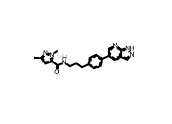 Cc1cc(C(=O)NCCCc2ccc(-c3cnc4[nH]ncc4c3)cc2)n(C)n1